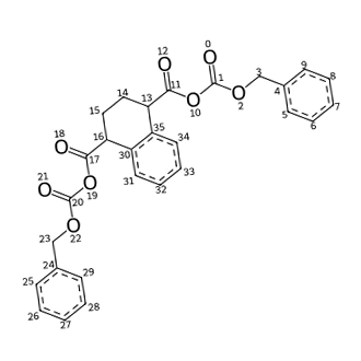 O=C(OCc1ccccc1)OC(=O)C1CCC(C(=O)OC(=O)OCc2ccccc2)c2ccccc21